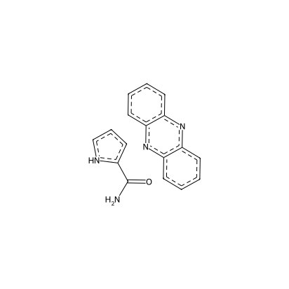 NC(=O)c1ccc[nH]1.c1ccc2nc3ccccc3nc2c1